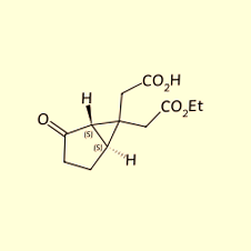 CCOC(=O)CC1(CC(=O)O)[C@H]2CCC(=O)[C@@H]21